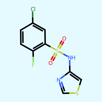 O=S(=O)(Nc1cscn1)c1cc(Cl)ccc1F